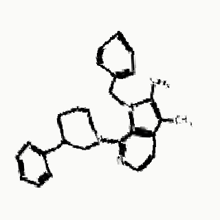 Cc1c(C)n(Cc2ccccc2)c2c(N3CCCC(c4ccccc4)C3)nccc12